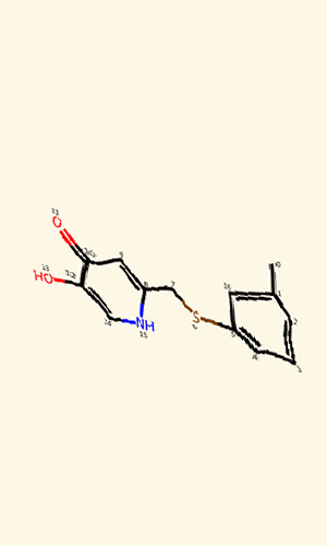 Cc1cccc(SCc2cc(=O)c(O)c[nH]2)c1